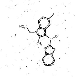 Cc1c([S+]([O-])c2nc3ccccc3s2)c2cc(F)ccc2n1CC(=O)O